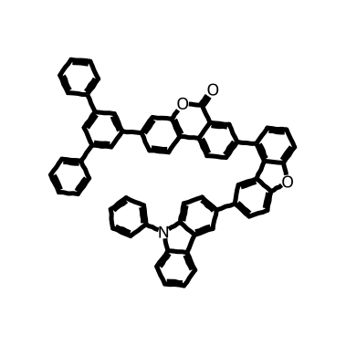 O=c1oc2cc(-c3cc(-c4ccccc4)cc(-c4ccccc4)c3)ccc2c2ccc(-c3cccc4oc5ccc(-c6ccc7c(c6)c6ccccc6n7-c6ccccc6)cc5c34)cc12